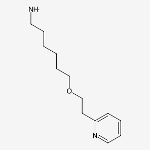 [NH]CCCCCCOCCc1ccccn1